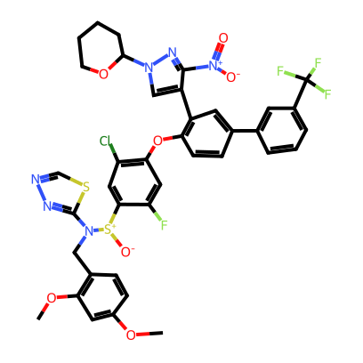 COc1ccc(CN(c2nncs2)[S+]([O-])c2cc(Cl)c(Oc3ccc(-c4cccc(C(F)(F)F)c4)cc3-c3cn(C4CCCCO4)nc3[N+](=O)[O-])cc2F)c(OC)c1